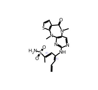 C=C/C=C(\C=C(/C)S(N)(=O)=O)Nc1ncc2c(n1)N(C)c1sccc1C(=O)N2C